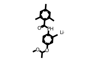 COC(C)Oc1ccc(PC(=O)c2c(C)cc(C)cc2C)c(C)c1.[Li]